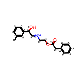 Cc1cccc(C(O)CNCCOC(=O)Cc2ccccc2)c1